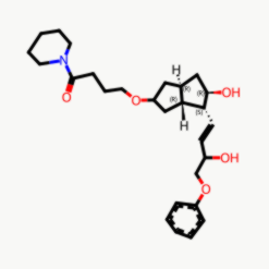 O=C(CCCOC1C[C@H]2C[C@@H](O)[C@H](C=CC(O)COc3ccccc3)[C@@H]2C1)N1CCCCC1